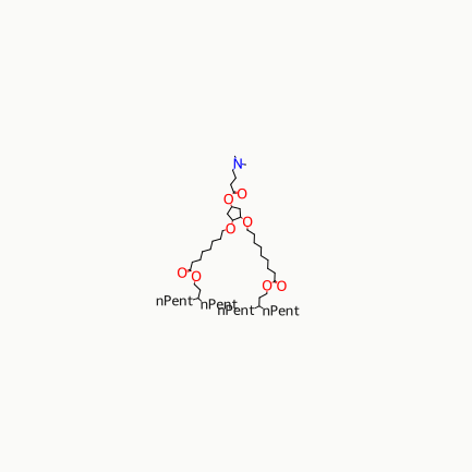 CCCCCC(CCCCC)CCOC(=O)CCCCCCCCOC1CC(OC(=O)CCCN(C)C)CC1OCCCCCCCC(=O)OCCC(CCCCC)CCCCC